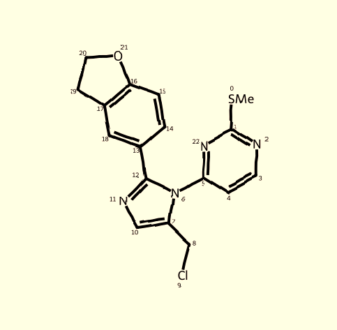 CSc1nccc(-n2c(CCl)cnc2-c2ccc3c(c2)CCO3)n1